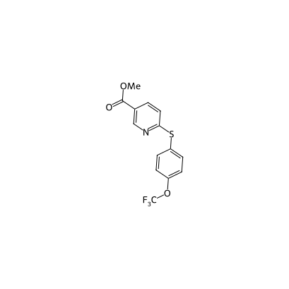 COC(=O)c1ccc(Sc2ccc(OC(F)(F)F)cc2)nc1